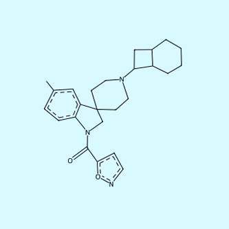 Cc1ccc2c(c1)C1(CCN(C3CC4CCCCC43)CC1)CN2C(=O)c1ccno1